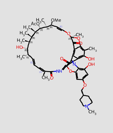 CO[C@H]1/C=C/O[C@@]2(C)Oc3c(C)c(O)c4c(=O)c(c5oc6cc(OCC7CCN(C)CC7)cc(O)c6nc-5c4c3C2=O)NC(=O)/C(C)=C\C=C\[C@H](C)[C@H](O)[C@@H](C)[C@@H](C)[C@@H](C)[C@H](OC(C)=O)[C@@H]1C